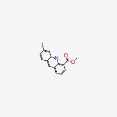 COC(=O)c1cccc2cc3ccc(I)cc3nc12